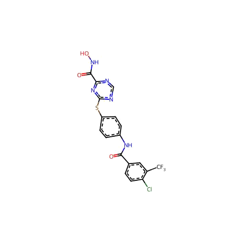 O=C(Nc1ccc(Sc2ncnc(C(=O)NO)n2)cc1)c1ccc(Cl)c(C(F)(F)F)c1